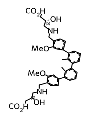 COc1cc(-c2cccc(-c3cccc(-c4ccc(CNC[C@@H](O)CC(=O)O)c(OC)c4)c3C)c2C)ccc1CNC[C@@H](O)CC(=O)O